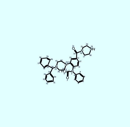 NC(=O)N(c1ccccc1)c1ccc(C(=O)N2CCNCC2)cc1N1CCN(C(c2ccccc2)c2ccccc2)CC1